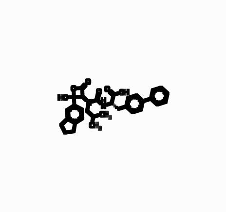 CC(C)CN(C(=O)N[C@@H](Cc1ccc(-c2ccccc2)cc1)C(=O)O)C1C(=O)OC1(O)c1ccc2c(c1)CCC2